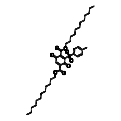 CCCCCCCCCCCCOC(=O)C1=CC(=O)C(C(=O)OCCCCCCCCCCCC)=C(S(=O)(=O)c2ccc(C)cc2)C1=O